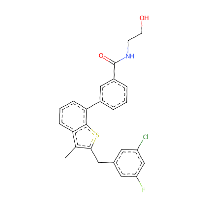 Cc1c(Cc2cc(F)cc(Cl)c2)sc2c(-c3cccc(C(=O)NCCO)c3)cccc12